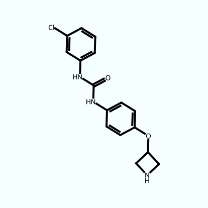 O=C(Nc1ccc(OC2CNC2)cc1)Nc1cccc(Cl)c1